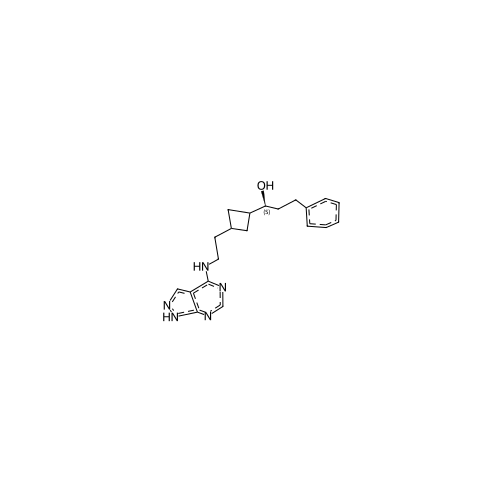 O[C@@H](CCc1ccccc1)C1CC(CCNc2ncnc3[nH]ncc23)C1